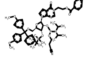 COc1ccc(C(OC[C@H]2O[C@@H](n3ccc4c(=O)n(CCOC(=O)c5ccccc5)cnc43)[C@H](OP(OCCC#N)N(C(C)C)C(C)C)[C@@H]2O[Si](C)(C)C(C)(C)C)(c2ccccc2)c2ccc(OC)cc2)cc1